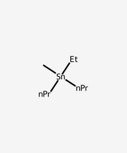 CC[CH2][Sn]([CH3])([CH2]C)[CH2]CC